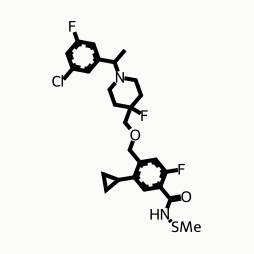 CSNC(=O)c1cc(C2CC2)c(COCC2(F)CCN(C(C)c3cc(F)cc(Cl)c3)CC2)cc1F